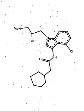 CNCC(O)Cn1cc(NC(=O)CC2CCCCC2)c2c(Cl)cccc21